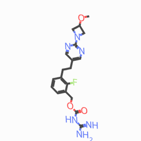 COC1CN(c2ncc(CCc3cccc(COC(=O)NC(=N)N)c3F)cn2)C1